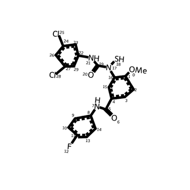 COc1ccc(C(=O)Nc2ccc(F)cc2)cc1N(S)C(=O)Nc1cc(Cl)cc(Cl)c1